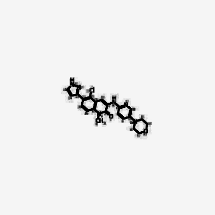 Cn1c(=O)c(Nc2ccc(N3CCOCC3)cn2)cc2c(Cl)c(-c3cc[nH]n3)ccc21